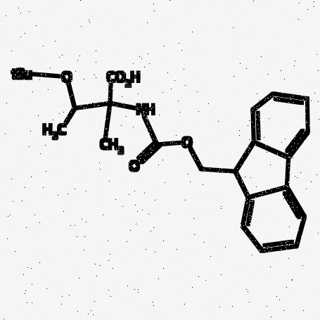 CC(OC(C)(C)C)C(C)(NC(=O)OCC1c2ccccc2-c2ccccc21)C(=O)O